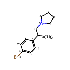 O=CC(CN1CCCC1)c1ccc(Br)cc1